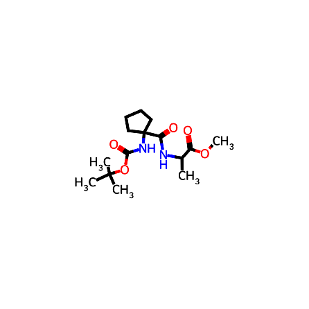 COC(=O)C(C)NC(=O)C1(NC(=O)OC(C)(C)C)CCCC1